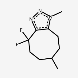 CC1CCc2c(nnn2C)C(F)(F)CC1